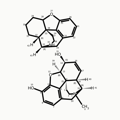 CN1CC[C@]23c4c5ccc(O)c4O[C@H]2[C@@H](O)C=C[C@H]3[C@H]1C5.c1cc2c3c(c1)OC1CCC[C@H]4[C@@H](C2)NCC[C@]314